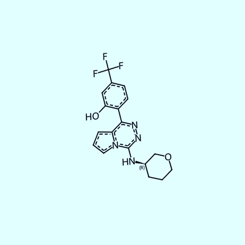 Oc1cc(C(F)(F)F)ccc1-c1nnc(N[C@@H]2CCCOC2)n2cccc12